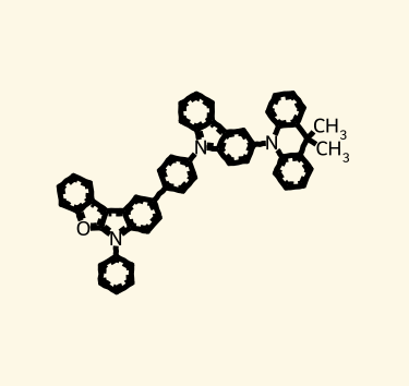 CC1(C)c2ccccc2N(c2ccc3c(c2)c2ccccc2n3-c2ccc(-c3ccc4c(c3)c3c5ccccc5oc3n4-c3ccccc3)cc2)c2ccccc21